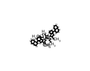 CCC[CH2][Hf]([CH2]CCC)([CH2][CH2][Hf]([CH2]CCC)([CH2]CCC)[CH]1C(CC)=Cc2c(-c3cccc4ccccc34)cccc21)[CH]1C(CC)=Cc2c(-c3cccc4ccccc34)cccc21